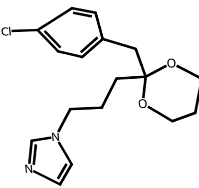 Clc1ccc(CC2(CCCn3ccnc3)OCCCO2)cc1